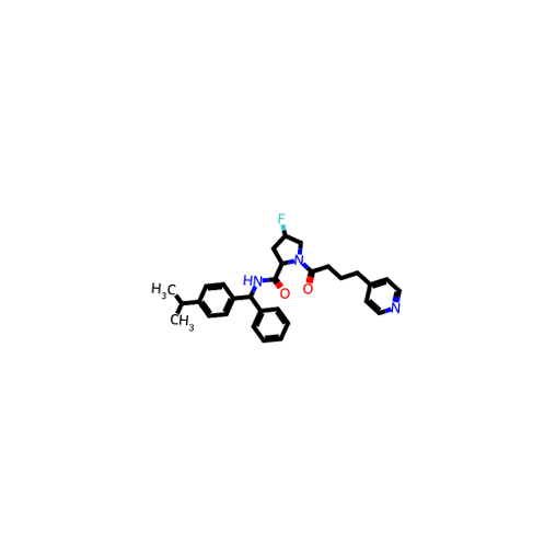 CC(C)c1ccc(C(NC(=O)C2CC(F)CN2C(=O)CCCc2ccncc2)c2ccccc2)cc1